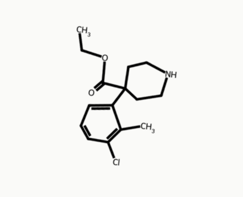 CCOC(=O)C1(c2cccc(Cl)c2C)CCNCC1